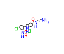 Cl.NCCCNC(=O)c1ccc2[nH]c(-c3ccc(Cl)c4c3C(O)NC4)cc2c1